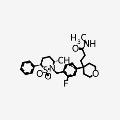 CNC(=O)CCC1(c2ccc(CN3[C@@H](C)CC[C@H](c4ccccc4)S3(=O)=O)c(F)c2)CCOCC1